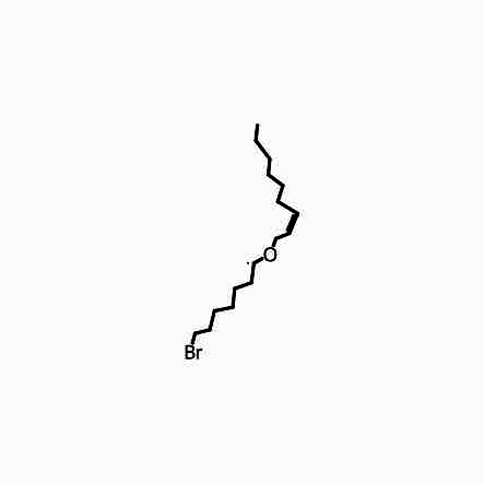 CCCCCC/C=C\CO[CH]CCCCCCBr